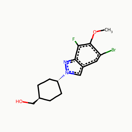 COc1c(Br)cc2cn([C@H]3CC[C@H](CO)CC3)nc2c1F